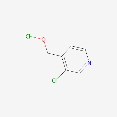 ClOCc1ccncc1Cl